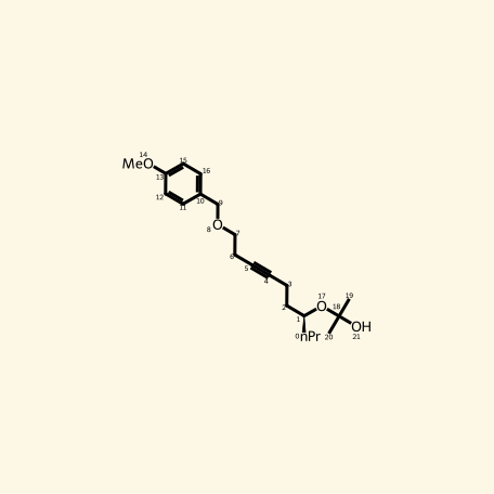 CCC[C@@H](CCC#CCCOCc1ccc(OC)cc1)OC(C)(C)O